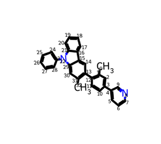 Cc1cc(-c2cccnc2)ccc1-c1cc2c3ccccc3n(-c3ccccc3)c2cc1C